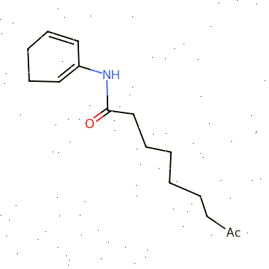 CC(=O)CCCCCCC(=O)NC1=CCCC=C1